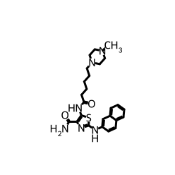 CN1CCN(CCCCCC(=O)Nc2sc(Nc3ccc4ccccc4c3)nc2C(N)=O)CC1